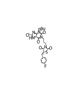 CCCCn1c(=O)n(CCCN2C(=O)S/C(=C\c3ccc(F)cc3)C2=O)c(=O)c2[nH]c(Cl)nc21